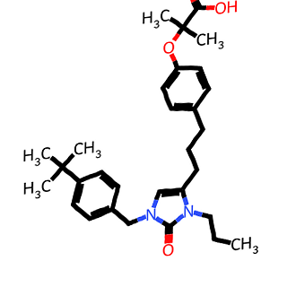 CCCn1c(CCCc2ccc(OC(C)(C)C(=O)O)cc2)cn(Cc2ccc(C(C)(C)C)cc2)c1=O